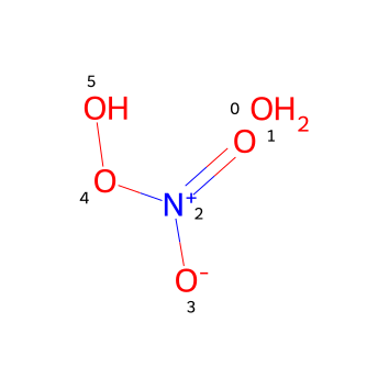 O.O=[N+]([O-])OO